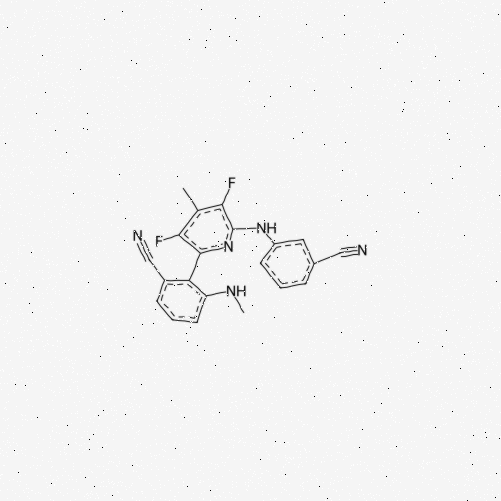 CNc1cccc(C#N)c1-c1nc(Nc2cccc(C#N)c2)c(F)c(C)c1F